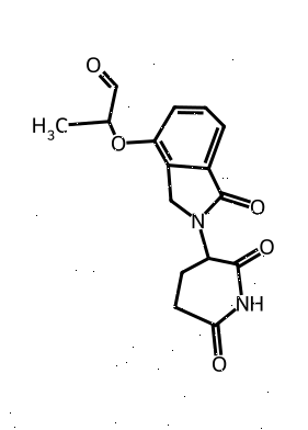 CC(C=O)Oc1cccc2c1CN(C1CCC(=O)NC1=O)C2=O